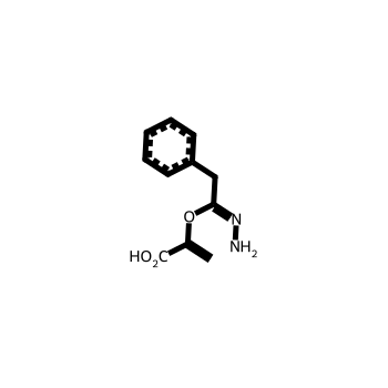 C=C(O/C(Cc1ccccc1)=N\N)C(=O)O